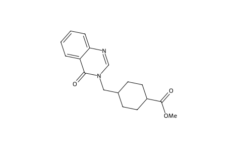 COC(=O)C1CCC(Cn2cnc3ccccc3c2=O)CC1